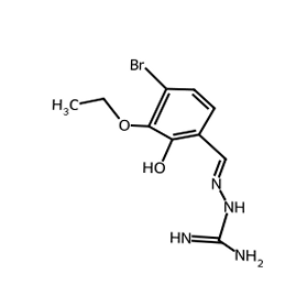 CCOc1c(Br)ccc(/C=N/NC(=N)N)c1O